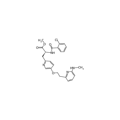 CNc1cccc(CCOc2ccc(C[C@H](NC(=O)c3ccccc3Cl)C(=O)OC)nc2)n1